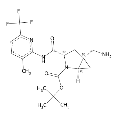 Cc1ccc(C(F)(F)F)nc1NC(=O)[C@@H]1C[C@@]2(CN)C[C@H]2N1C(=O)OC(C)(C)C